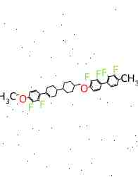 CCOc1ccc(C2=CCC(C3CCC(COc4ccc(-c5ccc(C)c(F)c5F)c(F)c4F)CC3)CC2)c(F)c1F